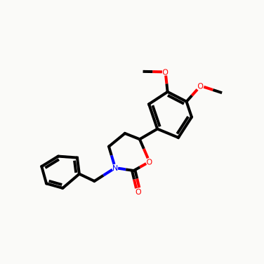 COc1ccc(C2CCN(Cc3ccccc3)C(=O)O2)cc1OC